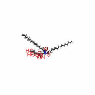 CCCCCCCCCCCCCCCC(=O)N(CCOP(=O)(O)OC[C@H](O)CO)C(=O)CCCCCCCCCCCCCCC